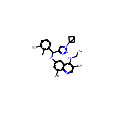 Cc1c(C#N)cccc1C(Nc1cc(C#N)c2ncc(C#N)c(NCC(C)(C)C)c2c1)c1cn(C23CC(C2)C3)nn1